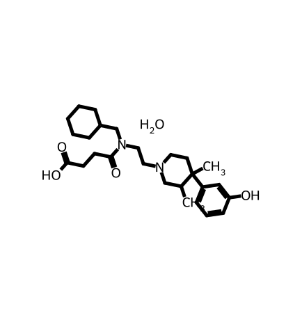 CC1CN(CCN(CC2CCCCC2)C(=O)CCC(=O)O)CCC1(C)c1cccc(O)c1.O